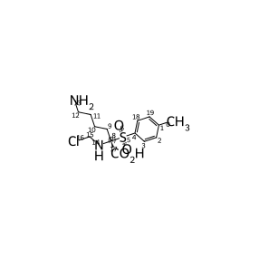 Cc1ccc(S(=O)(=O)[C@@](CCCCN)(NCCl)C(=O)O)cc1